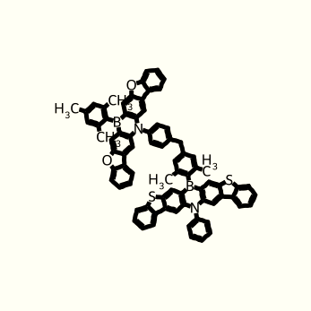 Cc1cc(C)c(B2c3cc4oc5ccccc5c4cc3N(c3ccc(Cc4cc(C)c(B5c6cc7sc8ccccc8c7cc6N(c6ccccc6)c6cc7c(cc65)sc5ccccc57)c(C)c4)cc3)c3cc4c(cc32)oc2ccccc24)c(C)c1